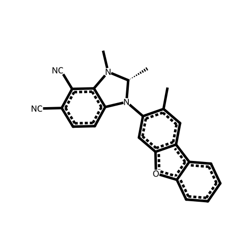 Cc1cc2c(cc1N1c3ccc(C#N)c(C#N)c3N(C)[C@@H]1C)oc1ccccc12